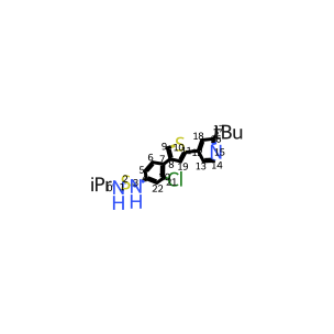 CC(C)NSNc1ccc(-c2csc(-c3ccnc(C(C)(C)C)c3)c2)c(Cl)c1